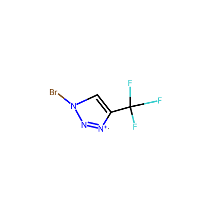 FC(F)(F)C1=CN(Br)N=[N+]1